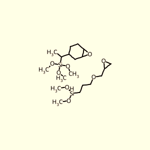 CO[SiH](CCCOCC1CO1)OC.CO[Si](OC)(OC)C(C)C1CCC2OC2C1